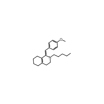 CCCCCN1CCC2=C(CCCC2)C1=Cc1ccc(OC)cc1